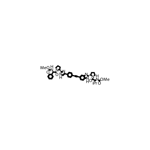 COC(=O)N[C@H](C(=O)N1CCC[C@H]1c1nc(-c2ccc(C#Cc3ccc4[nH]c([C@@H]5CCCN5C(=O)[C@@H](NC(=O)OC)C(C)C)nc4c3)cc2)c[nH]1)c1ccccc1